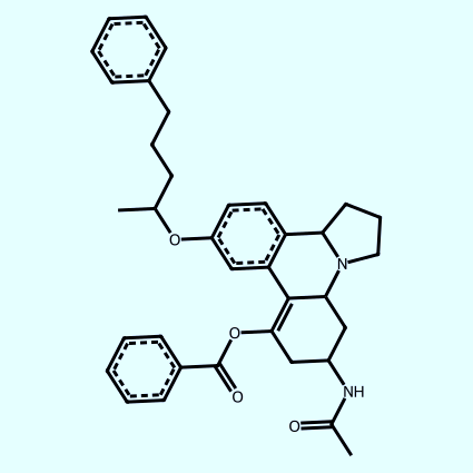 CC(=O)NC1CC(OC(=O)c2ccccc2)=C2c3cc(OC(C)CCCc4ccccc4)ccc3C3CCCN3C2C1